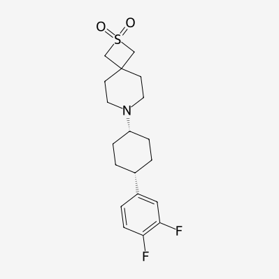 O=S1(=O)CC2(CCN([C@H]3CC[C@@H](c4ccc(F)c(F)c4)CC3)CC2)C1